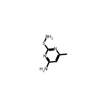 BSc1nc(C)cc(N)n1